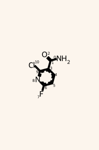 NC(=O)c1ccc(F)nc1Cl